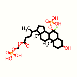 CC(CCC(=O)OCOP(=O)(O)O)C1CCC2C3C(CCC12C)C1(C)CCC(O)CC1CC3(F)OP(=O)(O)O